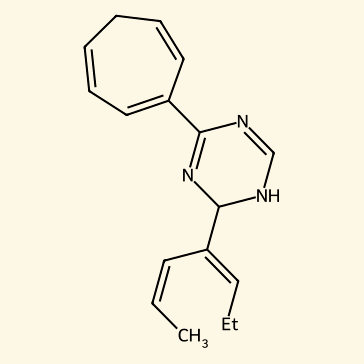 C/C=C\C(=C/CC)C1N=C(C2=CC=CCC=C2)N=CN1